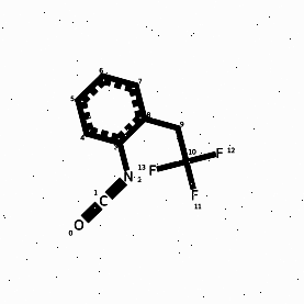 O=C=Nc1ccccc1CC(F)(F)F